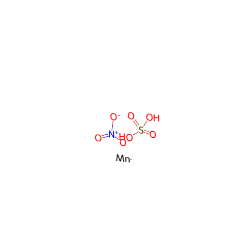 O=S(=O)(O)O.O=[N+]([O-])[O-].[Mn]